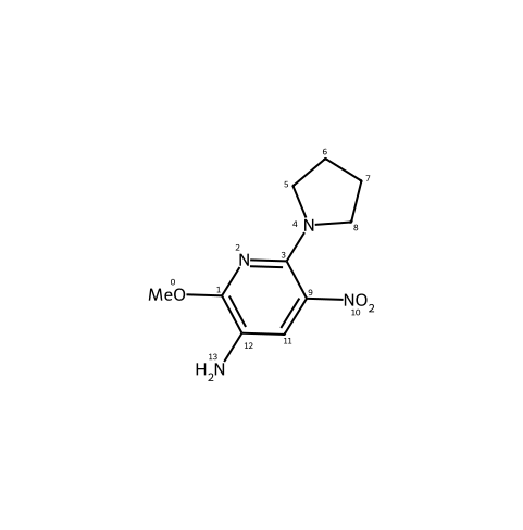 COc1nc(N2CCCC2)c([N+](=O)[O-])cc1N